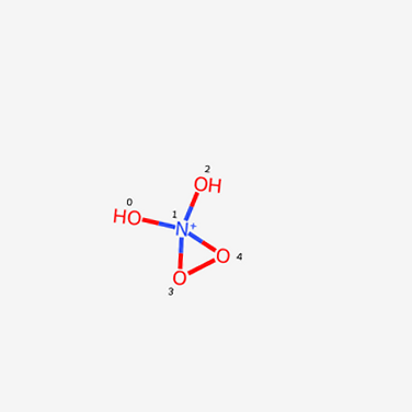 O[N+]1(O)OO1